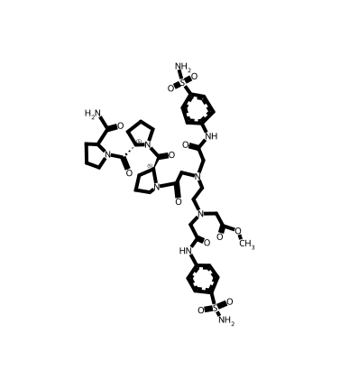 COC(=O)CN(CCN(CC(=O)Nc1ccc(S(N)(=O)=O)cc1)CC(=O)N1CCC[C@H]1C(=O)N1CCC[C@H]1C(=O)N1CCCC1C(N)=O)CC(=O)Nc1ccc(S(N)(=O)=O)cc1